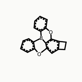 c1ccc2c(c1)Oc1cc3c(c4c1B2c1ccccc1O4)CC3